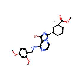 COC(=O)[C@@]1(C)CCC[C@@H](c2nc(Br)c3c(NCc4ccc(OC)cc4OC)nccn23)C1